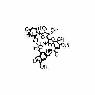 NC(=O)[C@H](O[C@H]1OC(C(=O)NCc2cc(CO)c(CO)c(CO)c2)=C[C@H](O)[C@@H]1O)[C@H]1O[C@@H](n2ccc(=O)[nH]c2=O)[C@H](O)[C@@H]1CO